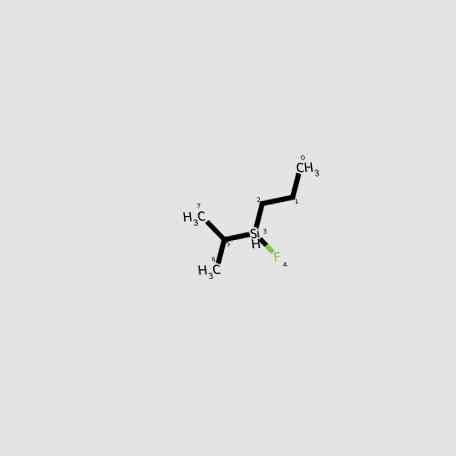 CCC[SiH](F)C(C)C